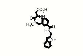 CN1Cc2cc(C(=O)NCc3cc4ccccc4[nH]3)ccc2NC(CC(=O)O)C1=O